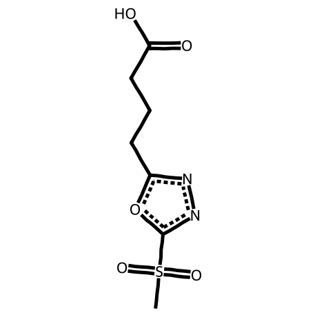 CS(=O)(=O)c1nnc(CCCC(=O)O)o1